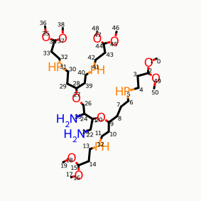 COC(CCPCCCC(CCPCCC(OC)OC)OC(CN)C(N)COC(CCPCCC(OC)OC)CCPCCC(OC)OC)OC